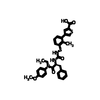 CCN(C(=O)[C@H](Cc1ccccc1)NC(=O)NSc1cccc(-c2csc(C(=O)O)c2)c1C)c1ccc(OC)cc1